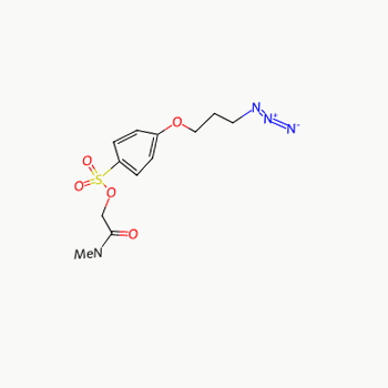 CNC(=O)COS(=O)(=O)c1ccc(OCCCN=[N+]=[N-])cc1